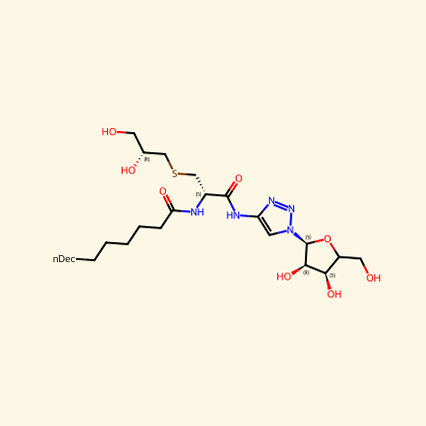 CCCCCCCCCCCCCCCC(=O)N[C@H](CSC[C@H](O)CO)C(=O)Nc1cn([C@H]2OC(CO)[C@@H](O)[C@H]2O)nn1